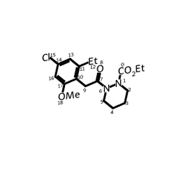 CCOC(=O)N1CCCCN1C(=O)Cc1c(CC)cc(Cl)cc1OC